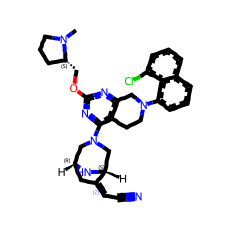 CN1CCC[C@H]1COc1nc2c(c(N3C[C@H]4C/C(=C/C#N)[C@@H](C3)N4)n1)CCN(c1cccc3cccc(Cl)c13)C2